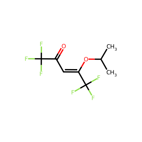 CC(C)O/C(=C\C(=O)C(F)(F)F)C(F)(F)F